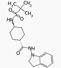 CC(C)(C)S(=O)(=O)N[C@H]1CC[C@H](C(=O)NN2CCc3ccccc32)CC1